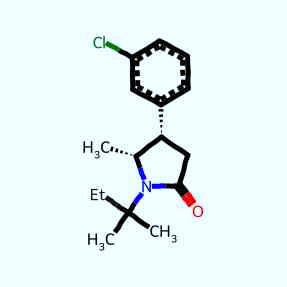 CCC(C)(C)N1C(=O)C[C@@H](c2cccc(Cl)c2)[C@H]1C